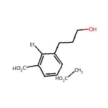 CC(=O)O.CCc1c(CCCO)cccc1C(=O)O